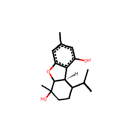 Cc1cc(O)c2c(c1)OC1[C@@H]2C(C(C)C)CCC1(C)O